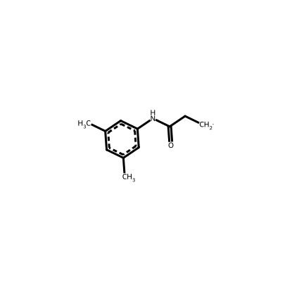 [CH2]CC(=O)Nc1cc(C)cc(C)c1